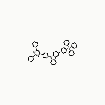 c1ccc(-c2nc(-c3ccccc3)nc(-c3ccc(-n4c5ccccc5c5cc(-c6ccc([Si](c7ccccc7)(c7ccccc7)c7ccccc7)cc6)ccc54)cc3)n2)cc1